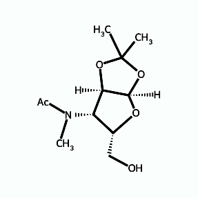 CC(=O)N(C)[C@@H]1[C@H]2OC(C)(C)O[C@H]2O[C@@H]1CO